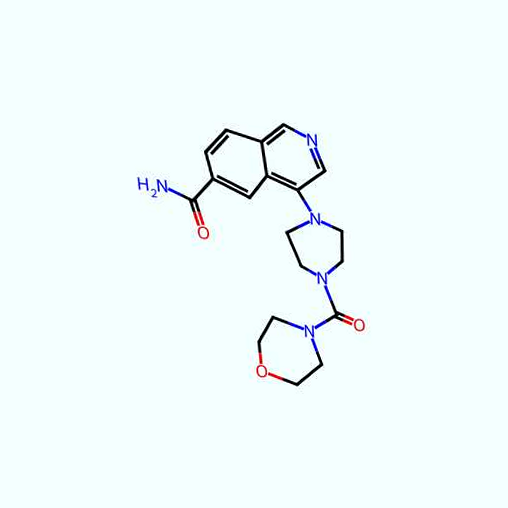 NC(=O)c1ccc2cncc(N3CCN(C(=O)N4CCOCC4)CC3)c2c1